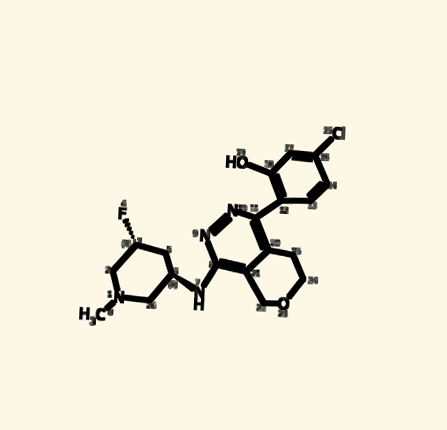 CN1C[C@H](F)C[C@@H](Nc2nnc(-c3ccc(Cl)cc3O)c3c2COCC3)C1